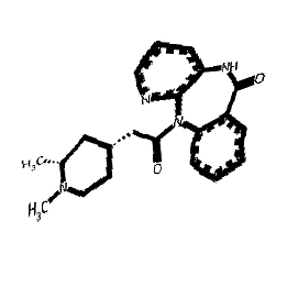 C[C@@H]1C[C@H](CC(=O)N2c3ccccc3C(=O)Nc3cccnc32)CCN1C